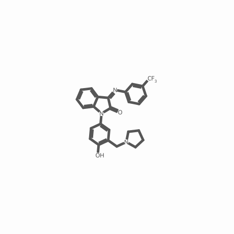 O=C1C(=Nc2cccc(C(F)(F)F)c2)c2ccccc2N1c1ccc(O)c(CN2CCCC2)c1